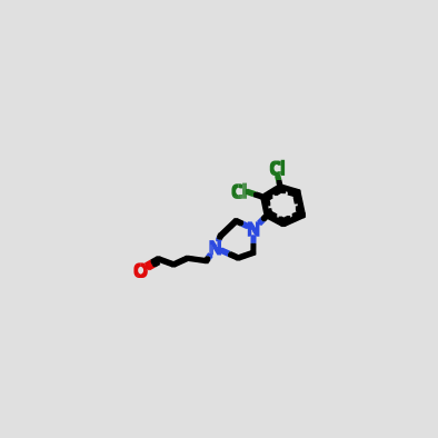 O=CCCCN1CCN(c2cccc(Cl)c2Cl)CC1